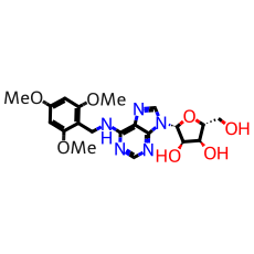 COc1cc(OC)c(CNc2ncnc3c2ncn3[C@@H]2O[C@H](CO)[C@@H](O)[C@H]2O)c(OC)c1